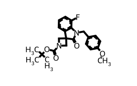 COc1ccc(CN2C(=O)C3(CN(C(=O)OC(C)(C)C)C3)c3cccc(F)c32)cc1